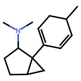 CC1C=CC(C23CC2CCC3N(C)C)=CC1